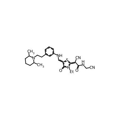 CCn1c(=C(C#N)C(=O)NCC#N)sc(=CNc2cccc(CCN3C(C)CCCC3C)c2)c1=O